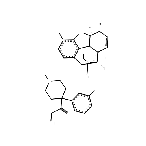 CCC(=O)C1(c2cccc(O)c2)CCN(C)CC1.CN1CC[C@]23c4c5ccc(O)c4O[C@H]2[C@@H](O)C=C[C@H]3[C@H]1C5